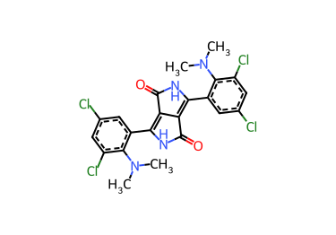 CN(C)c1c(Cl)cc(Cl)cc1C1=C2C(=O)NC(c3cc(Cl)cc(Cl)c3N(C)C)=C2C(=O)N1